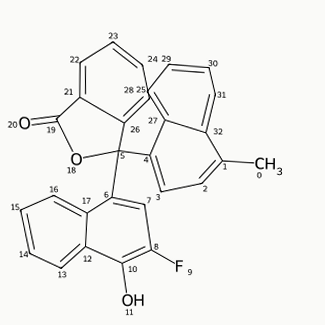 Cc1ccc(C2(c3cc(F)c(O)c4ccccc34)OC(=O)c3ccccc32)c2ccccc12